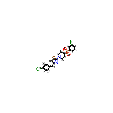 O=S(=O)(c1cccc(F)c1)C1CCN(c2nc(Cc3ccc(Cl)cc3)cs2)CC1